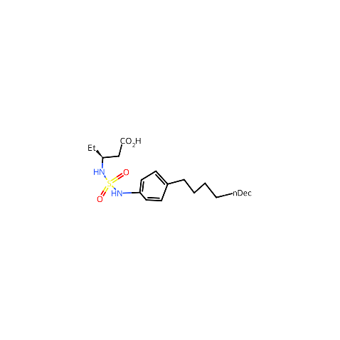 CCCCCCCCCCCCCCc1ccc(NS(=O)(=O)N[C@@H](CC)CC(=O)O)cc1